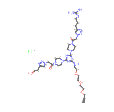 C#CCOCCOCCOCCNc1nc(N2CCN(C(=O)Cn3cc(CCO)nn3)CC2)nc(N2CCN(C(=O)Cn3cc(CCCN=C(N)N)nn3)CC2)n1.Cl